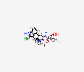 CC(CO)C(=O)NC1CC2c3cccc4[nH]c(Br)c(c34)C[C@H]2N(C)C1